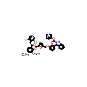 COc1ccc([C@@H](Cc2c(Cl)cncc2Cl)OC(=O)c2ccc(COc3cccc([C@@H](NC(=O)OC4CN5CCC4CC5)c4ccccc4)c3)o2)cc1OC